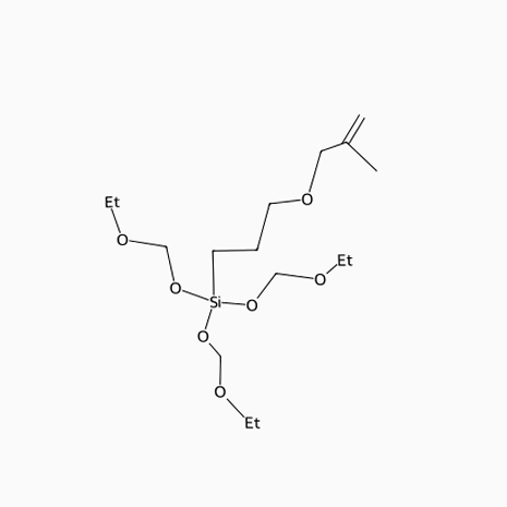 C=C(C)COCCC[Si](OCOCC)(OCOCC)OCOCC